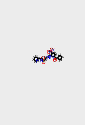 O=C(c1ccccc1)c1ccc([N+](=O)[O-])c(CNCCS(=O)(=O)NCC2CCCCC2)c1